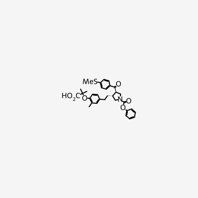 CSc1ccc(C(=O)[C@H]2CN(C(=O)Oc3ccccc3)C[C@@H]2CCc2ccc(OC(C)(C)C(=O)O)c(C)c2)cc1